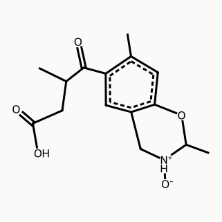 Cc1cc2c(cc1C(=O)C(C)CC(=O)O)C[NH+]([O-])C(C)O2